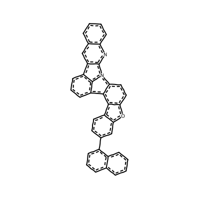 c1ccc2nc3c(cc2c1)c1cccc2c4c5c(ccc4n3c12)oc1cc(-c2cccc3ccccc23)ccc15